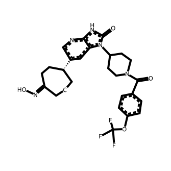 O=C(c1ccc(OC(F)(F)F)cc1)N1CCC(n2c(=O)[nH]c3ncc([C@@H]4CCC/C(=N/O)CC4)cc32)CC1